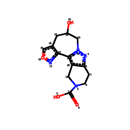 O=C(O)N1CCc2nn3c(c2C1)-c1nocc1CC(O)C3